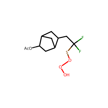 CC(=O)OC1CC2CC1CC2CC(F)(F)SOOO